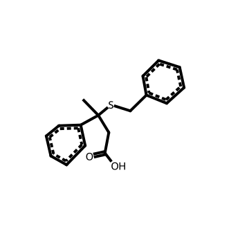 CC(CC(=O)O)(SCc1ccccc1)c1ccccc1